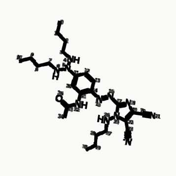 CCCCNN(NCCCC)c1ccc(N=Nc2nc(C#N)c(C#N)n2NCCCC)c(NC(C)=O)c1